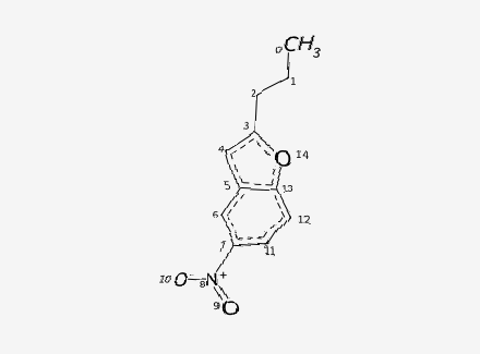 CCCc1cc2cc([N+](=O)[O-])ccc2o1